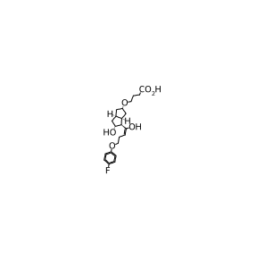 O=C(O)CCCO[C@H]1C[C@@H]2C[C@@H](O)[C@H](/C(O)=C\CCOc3ccc(F)cc3)[C@@H]2C1